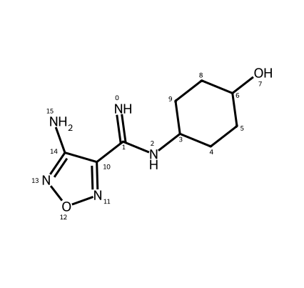 N=C(NC1CCC(O)CC1)c1nonc1N